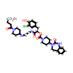 CCOC(=O)CCC(=O)N1CCC(N=C=C=NC(=O)[C@@H](Cc2ccc(O)c(Br)c2)OC(=O)N2CCC(N3CCc4ccccc4NC3=O)CC2)CC1